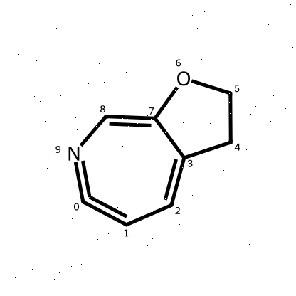 C1=CC=C2CCOC2=CN=1